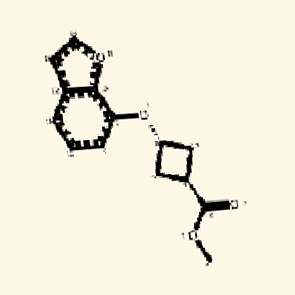 COC(=O)[C@H]1C[C@H](Oc2cccc3ccoc23)C1